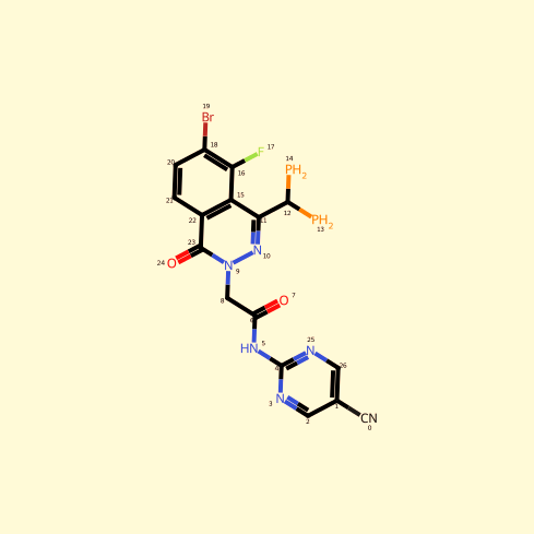 N#Cc1cnc(NC(=O)Cn2nc(C(P)P)c3c(F)c(Br)ccc3c2=O)nc1